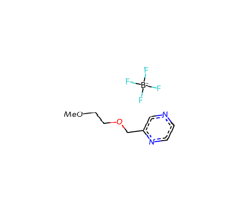 COCCOCc1cnccn1.F[B-](F)(F)F